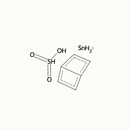 O=[SH](=O)O.[SnH2].c1cc2ccc1-2